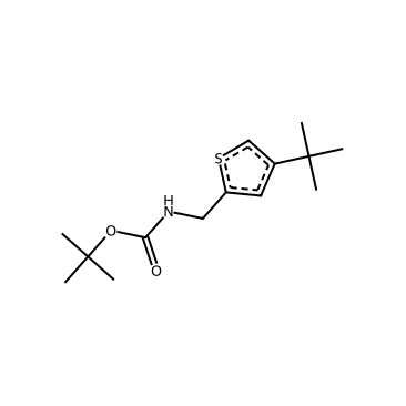 CC(C)(C)OC(=O)NCc1cc(C(C)(C)C)cs1